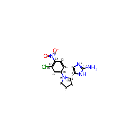 Nc1ncc([C@@H]2CCCN2c2ccc([N+](=O)[O-])c(Cl)c2)[nH]1